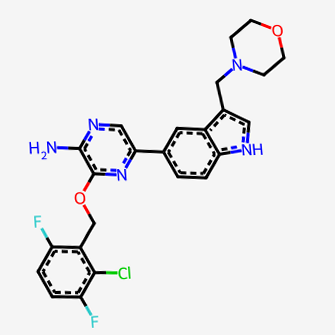 Nc1ncc(-c2ccc3[nH]cc(CN4CCOCC4)c3c2)nc1OCc1c(F)ccc(F)c1Cl